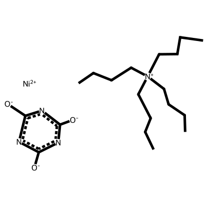 CCCC[N+](CCCC)(CCCC)CCCC.[Ni+2].[O-]c1nc([O-])nc([O-])n1